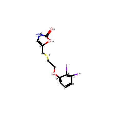 O=c1[nH]cc(CSCCOc2cccc(I)c2I)o1